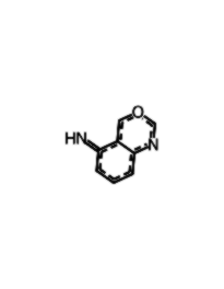 N=c1cccc2ncocc1-2